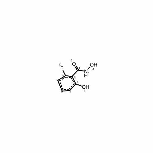 O=C(NO)c1c(O)cccc1F